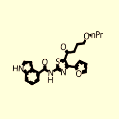 CCCOCCCC(=O)c1sc(NC(=O)c2cccc3[nH]ccc23)nc1-c1ccco1